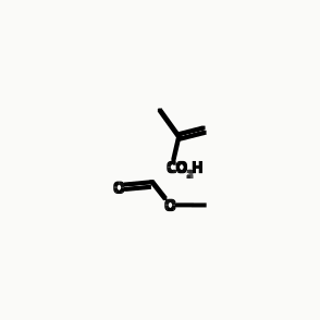 C=C(C)C(=O)O.COC=O